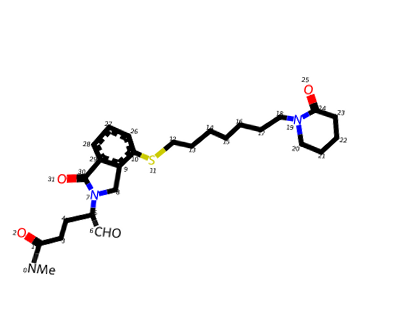 CNC(=O)CCC(C=O)N1Cc2c(SCCCCCCCN3CCCCC3=O)cccc2C1=O